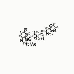 COc1cnc2ccc(=O)n(CC(O)C34CCC(NCc5cc6c(cn5)OCCO6)(CC3)CO4)c2c1